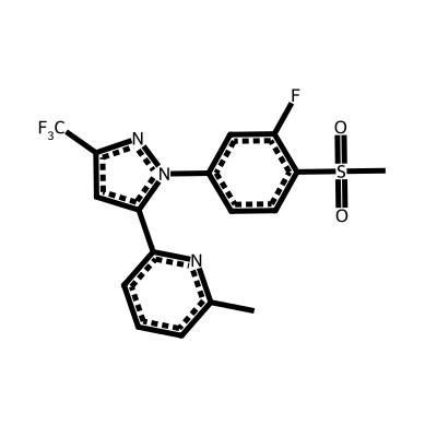 Cc1cccc(-c2cc(C(F)(F)F)nn2-c2ccc(S(C)(=O)=O)c(F)c2)n1